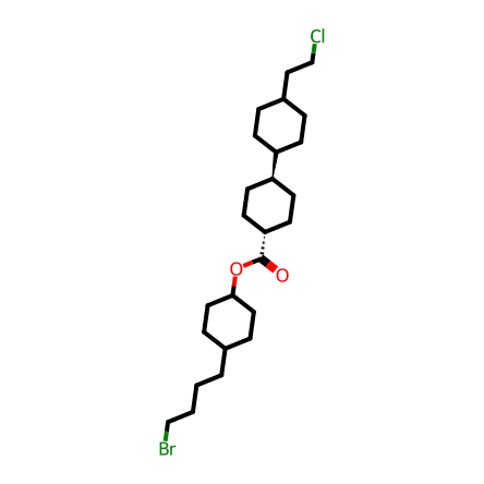 O=C(OC1CCC(CCCCBr)CC1)[C@H]1CC[C@H](C2CCC(CCCl)CC2)CC1